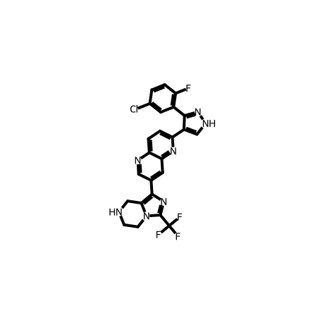 Fc1ccc(Cl)cc1-c1n[nH]cc1-c1ccc2ncc(-c3nc(C(F)(F)F)n4c3CNCC4)cc2n1